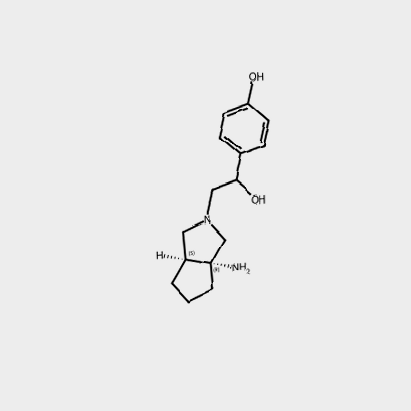 N[C@]12CCC[C@H]1CN(CC(O)c1ccc(O)cc1)C2